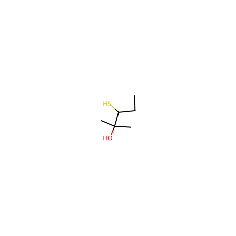 CCC(S)C(C)(C)O